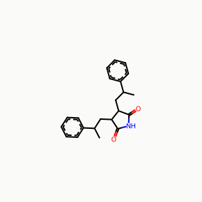 CC(CC1C(=O)NC(=O)C1CC(C)c1ccccc1)c1ccccc1